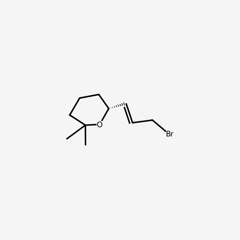 CC1(C)CCC[C@H](/C=C/CBr)O1